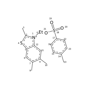 CC[n+]1c(C)sc2cc(C)c(C)cc21.Cc1ccc(S(=O)(=O)[O-])cc1